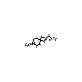 CC(=O)N1CCC2(CC1)CN(CC(C)C)C2